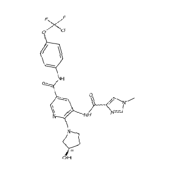 Cn1cnc(C(=O)Nc2cc(C(=O)Nc3ccc(OC(F)(F)Cl)cc3)cnc2N2CC[C@@H](O)C2)c1